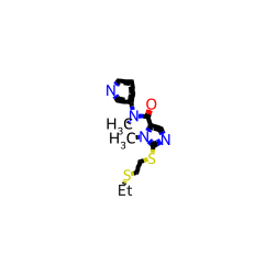 CCSCCSc1ncc(C(=O)N(C)c2cccnc2)n1C